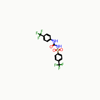 O=C(Nc1ccc(C(F)(F)F)cc1)NS(=O)(=O)c1ccc(C(F)(F)F)cc1